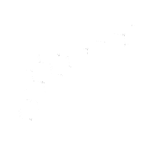 CCN(CC)CCCNCc1nnc2c(n1)c(=O)n(C)c(=O)n2Cc1cccnc1